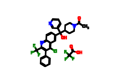 CC(=O)N1CCC(C(O)(c2cccnc2)c2ccc3nc(C(F)(F)F)c(-c4ccccc4)c(Cl)c3c2)CC1.O=C(O)C(F)(F)F